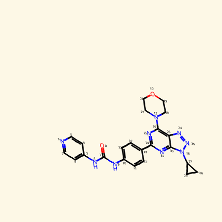 O=C(Nc1ccncc1)Nc1ccc(-c2nc(N3CCOCC3)c3nnn(C4CC4)c3n2)cc1